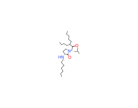 CCCCCCCN[C@@H]1CCN([C@@H](CC(C)C)C(=O)C(CCCC)CCCCC)C1=O